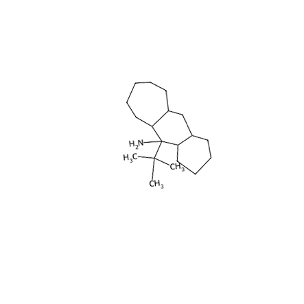 CC(C)(C)C1(N)C2CCCCCC2CC2CCCCC21